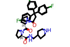 O=C(NCC1CCNCC1)[C@H]1CCCN1C(=O)[C@@H]1CCCN1C(=O)CC(c1ccc(F)cc1)(c1ccc(F)cc1)c1ccc(F)cc1